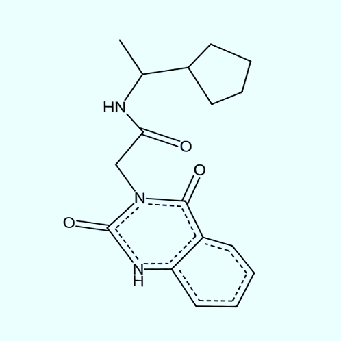 CC(NC(=O)Cn1c(=O)[nH]c2ccccc2c1=O)C1CCCC1